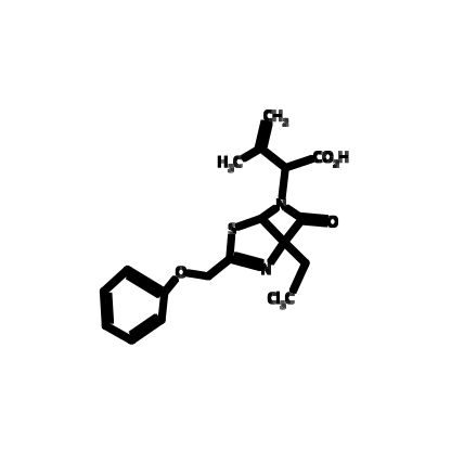 C=C(C)C(C(=O)O)N1C(=O)C2(CC(Cl)(Cl)Cl)N=C(COc3ccccc3)SC12